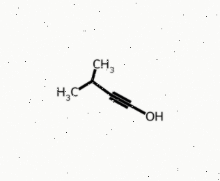 CC(C)C#CO